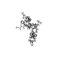 CCCCn1c(=O)n2c(CCC)nnc2c2[nH]c(-c3cc(S(=O)(=O)N4CCN(C)CC4)ccc3OCCC)nc21